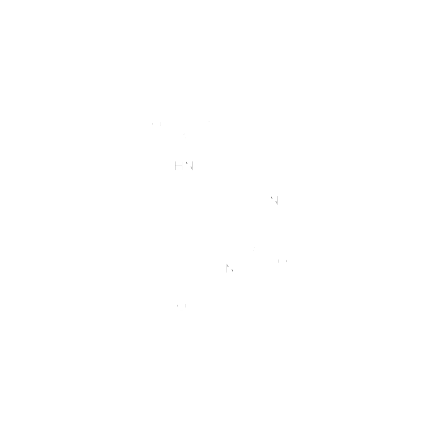 O=C(O)Nc1ccnc(C(=O)N2CCOCC2)c1